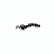 Cc1cc(/N=N/c2ccc(N3CCCC3)s2)ccc1/N=N/c1ccc(/N=N/c2nnc(N(C(C)C)C(C)C)s2)c(C)c1